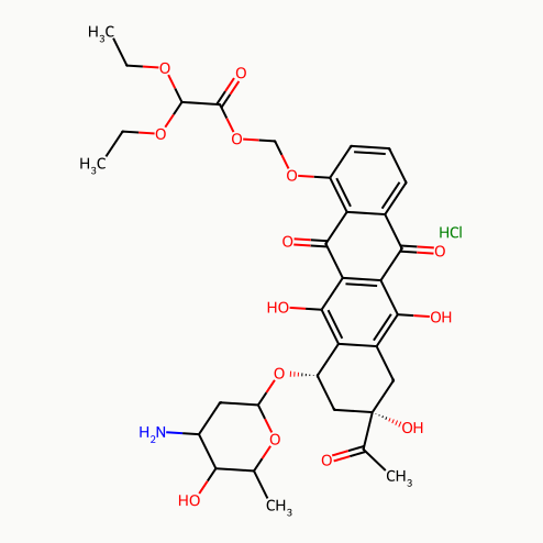 CCOC(OCC)C(=O)OCOc1cccc2c1C(=O)c1c(O)c3c(c(O)c1C2=O)C[C@@](O)(C(C)=O)C[C@@H]3OC1CC(N)C(O)C(C)O1.Cl